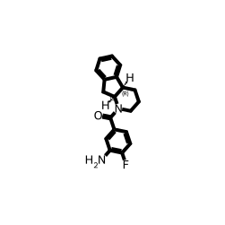 Nc1cc(C(=O)N2CCC[C@@H]3c4ccccc4C[C@@H]32)ccc1F